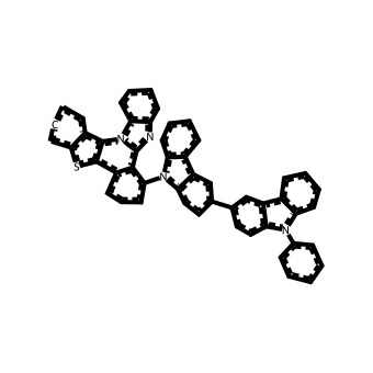 c1ccc(-n2c3ccccc3c3cc(-c4ccc5c(c4)c4ccccc4n5-c4cccc5c6sc7ccccc7c6n6c7ccccc7nc6c45)ccc32)cc1